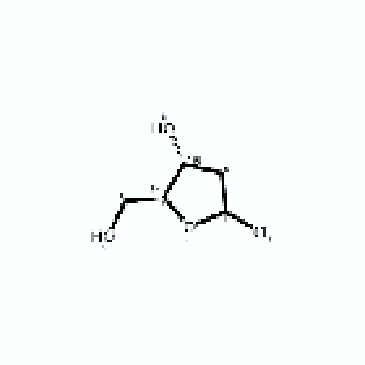 OC[C@@H]1OC(Cl)C[C@H]1O